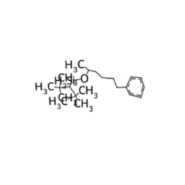 CC(CCCCc1ccccc1)O[SiH2]C(C(C)(C)C)C(C)(C)C